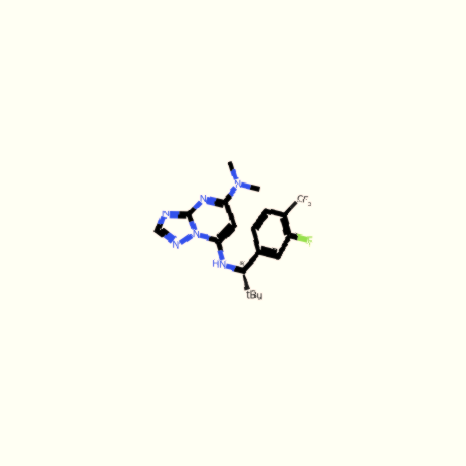 CN(C)c1cc(N[C@@H](c2ccc(C(F)(F)F)c(F)c2)C(C)(C)C)n2ncnc2n1